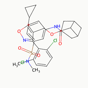 CN(C)S(=O)(=O)c1cccc(NC(=O)C2C3CC(OCc4c(-c5c(Cl)cccc5Cl)noc4C4CC4)CC2C3)c1